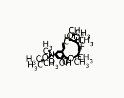 CCN(C(=O)OC(C)(C)C)c1cc(O)c2c(c1)/C=C/C[C@@H]1OC(C)(C)O[C@@H]1[C@H](C)/C(F)=C\[C@@H](C)[C@H](C)OC2=O